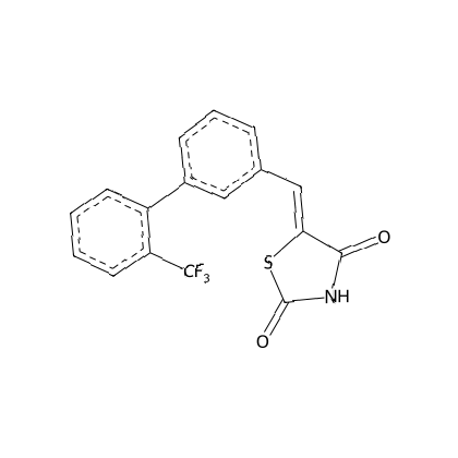 O=C1NC(=O)C(=Cc2cccc(-c3ccccc3C(F)(F)F)c2)S1